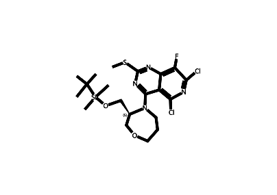 CSc1nc(N2CCCOC[C@H]2CO[Si](C)(C)C(C)(C)C)c2c(Cl)nc(Cl)c(F)c2n1